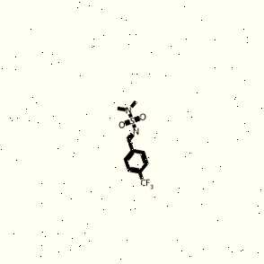 CN(C)S(=O)(=O)N=Cc1ccc(C(F)(F)F)cc1